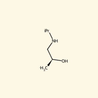 [CH2][C@H](O)CNC(C)C